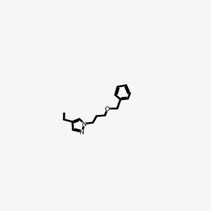 CCc1cnn(CCCOCc2ccccc2)c1